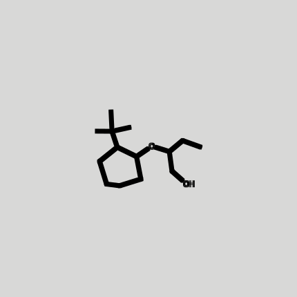 CCC(CO)OC1CCCCC1C(C)(C)C